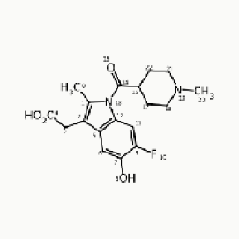 Cc1c(CC(=O)O)c2cc(O)c(F)cc2n1C(=O)C1CCN(C)CC1